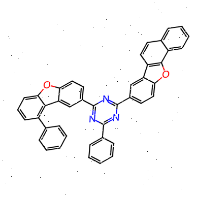 c1ccc(-c2nc(-c3ccc4oc5c6ccccc6ccc5c4c3)nc(-c3ccc4oc5cccc(-c6ccccc6)c5c4c3)n2)cc1